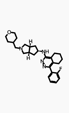 Fc1ccccc1-c1nnc(N[C@H]2C[C@@H]3CN(CC4CCOCC4)C[C@@H]3C2)c2c1CCCC2